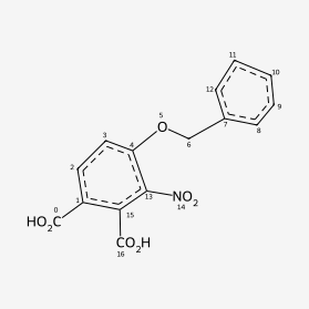 O=C(O)c1ccc(OCc2ccccc2)c([N+](=O)[O-])c1C(=O)O